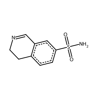 NS(=O)(=O)c1ccc2c(c1)C=NCC2